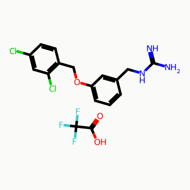 N=C(N)NCc1cccc(OCc2ccc(Cl)cc2Cl)c1.O=C(O)C(F)(F)F